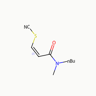 CCCCN(C)C(=O)/C=C\SC#N